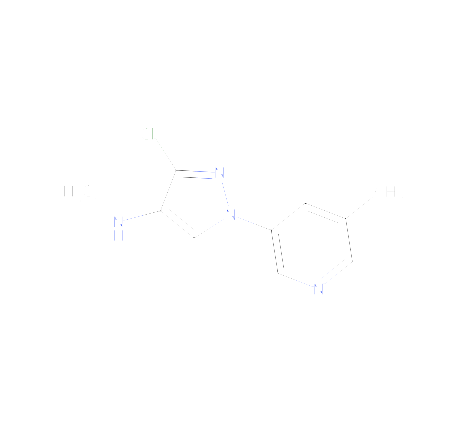 CNc1cn(-c2cncc(C)c2)nc1Cl